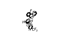 O=C(c1cccc(F)c1-c1ncccn1)N1C[C@@H]2CC[C@H]1[C@H](Oc1cnc(C(F)(F)F)cn1)C2